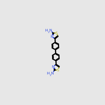 Nc1nc(-c2ccc(-c3ccc(-c4csc(N)n4)cc3)cc2)cs1